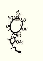 C#CCCN(C)[C@H]1C[C@@H](C)O[C@@H](O[C@@H]2[C@@H](C)[C@H](O)[C@@H](C)C(=O)O[C@H](CC)[C@@](C)(O)[C@H](O)[C@@H](C)C(=O)[C@H](C)C[C@@]2(C)C=O)[C@@H]1OC(C)=O